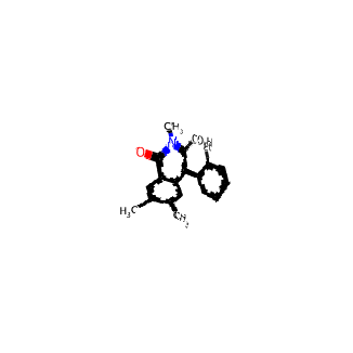 CCc1ccccc1-c1c(C(=O)O)n(C)c(=O)c2cc(C)c(C)cc12